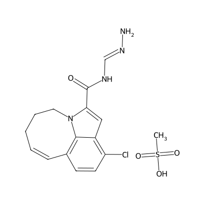 CS(=O)(=O)O.NN=CNC(=O)c1cc2c(Cl)ccc3c2n1CCCC=C3